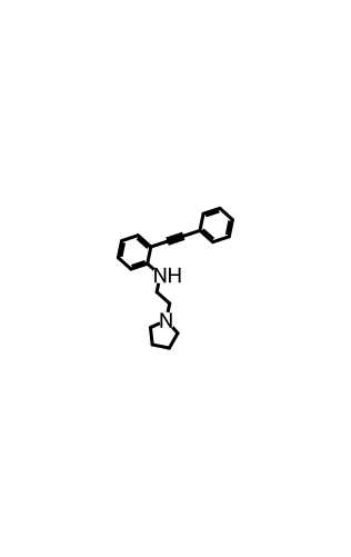 C(#Cc1ccccc1NCCN1CCCC1)c1ccccc1